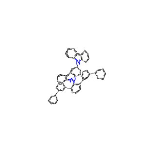 c1ccc(-c2cccc(-c3cccc(-c4cccc(-c5ccccc5)c4)c3-n3c4ccccc4c4cc(-n5c6ccccc6c6ccccc65)ccc43)c2)cc1